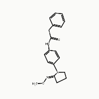 CON=C1CCCN1c1ccc(NC(=O)Cc2ccccc2)cc1